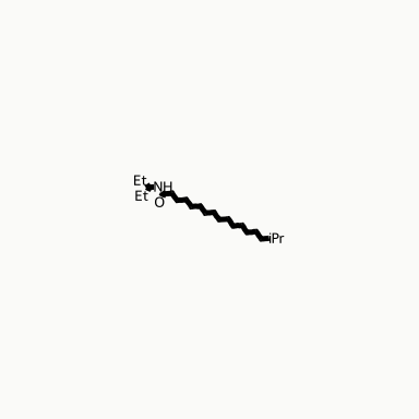 CCC(CC)NC(=O)CCCCCCCCCCCCCCC(C)C